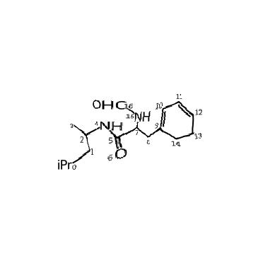 CC(C)CC(C)NC(=O)C(CC1=CC=CCC1)NC=O